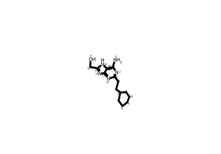 Nc1nc(CCC2CCCCC2)nc2nc(CO)[nH]c12